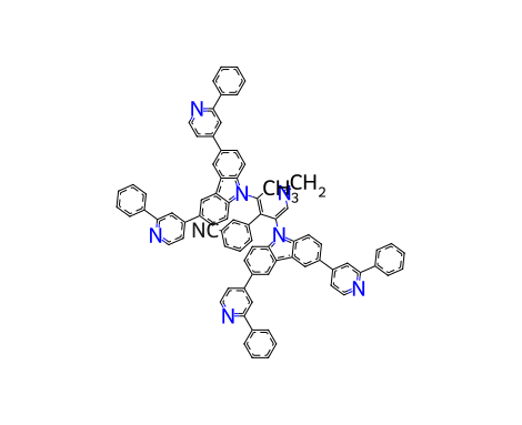 C=N/C=C(\C(=C(/C)n1c2ccc(-c3ccnc(-c4ccccc4)c3)cc2c2cc(-c3ccnc(-c4ccccc4)c3)ccc21)c1cccc(C#N)c1)n1c2ccc(-c3ccnc(-c4ccccc4)c3)cc2c2cc(-c3ccnc(-c4ccccc4)c3)ccc21